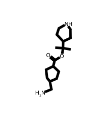 CC(C)(OC(=O)C1CCC(CN)CC1)C1CCNCC1